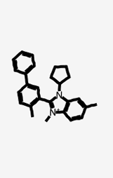 Cc1ccc2c(c1)n(C1CCCC1)c(-c1cc(-c3ccccc3)ccc1C)[n+]2C